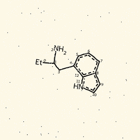 CCC(N)Cc1cccc2cc[nH]c12